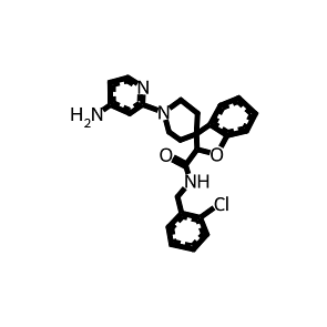 Nc1ccnc(N2CCC3(CC2)c2ccccc2OC3C(=O)NCc2ccccc2Cl)c1